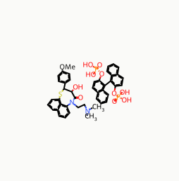 COc1ccc(C2Sc3cccc4cccc(c34)N(CCN(C)C)C(=O)C2O)cc1.O=P(O)(O)Oc1ccc2ccccc2c1-c1c(OP(=O)(O)O)ccc2ccccc12